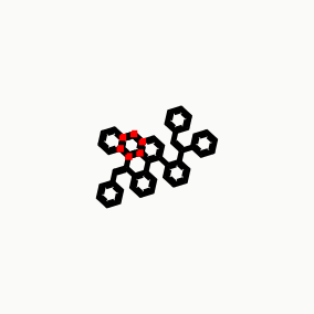 C(=C(c1ccccc1)c1ccccc1-c1ccc2cc3ccccc3cc2c1-c1ccccc1C(=Cc1ccccc1)c1ccccc1)c1ccccc1